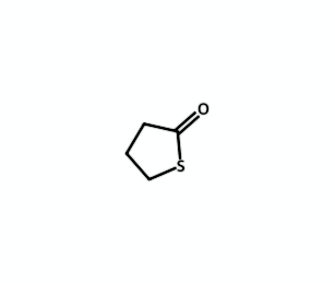 O=C1CCCS1